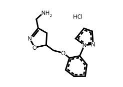 Cl.NCC1=NOC(COc2ccccc2-n2cccn2)C1